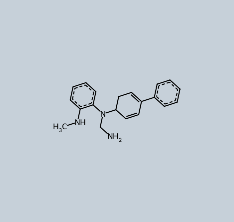 CNc1ccccc1N(CN)C1C=CC(c2ccccc2)=CC1